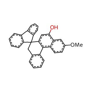 COc1ccc2c3c(cc(O)c2c1)C1(Cc2ccccc2-3)c2ccccc2-c2ccccc21